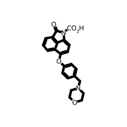 O=C(O)N1C(=O)c2cccc3c(Oc4ccc(CN5CCOCC5)cc4)ccc1c23